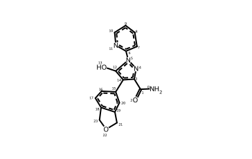 NC(=O)c1nn(-c2ccccn2)c(O)c1-c1ccc2c(c1)COC2